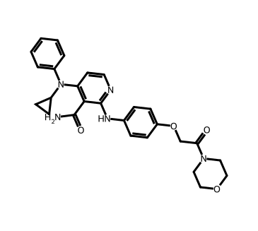 NC(=O)c1c(N(c2ccccc2)C2CC2)ccnc1Nc1ccc(OCC(=O)N2CCOCC2)cc1